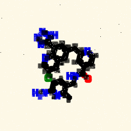 Cc1nc(N)ccc1CNC(=O)c1ccnc(Cc2cc(-c3nnn[nH]3)c3ncc(Cl)cc3c2)c1